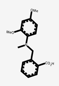 COc1ccc(N(C)Cc2ccccc2C(=O)O)c(OC)c1